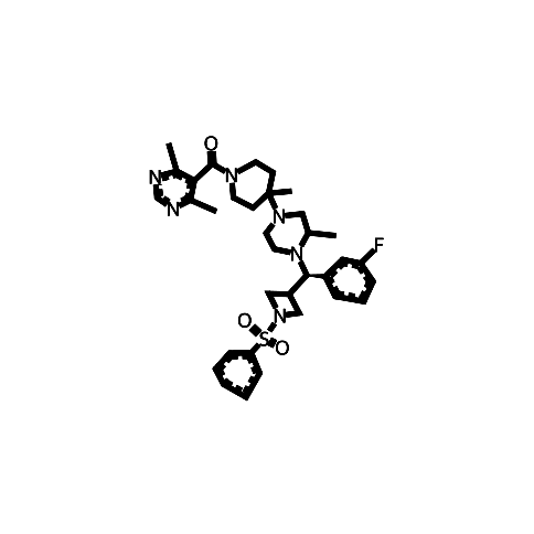 Cc1ncnc(C)c1C(=O)N1CCC(C)(N2CCN([C@@H](c3cccc(F)c3)C3CN(S(=O)(=O)c4ccccc4)C3)C(C)C2)CC1